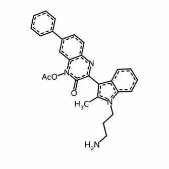 CC(=O)On1c(=O)c(-c2c(C)n(CCCN)c3ccccc23)nc2ccc(-c3ccccc3)cc21